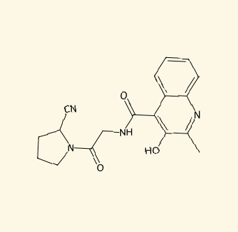 Cc1nc2ccccc2c(C(=O)NCC(=O)N2CCCC2C#N)c1O